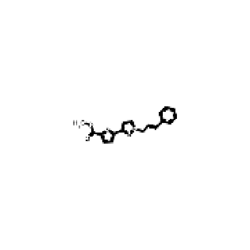 COC(=O)c1ccc(-c2ccn(CC=Cc3ccccc3)n2)s1